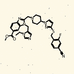 CCn1cncc1Cn1c(CN2CCC(n3ccc(SCc4ccc(C#N)cc4F)n3)CC2)nc2ccc(C(=O)OC)cc21